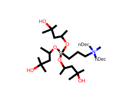 CCCCCCCCCC[N+](C)(CCCCCCCCCC)CCC[Si](OC(C)CC(C)(C)O)(OC(C)CC(C)(C)O)OC(C)CC(C)(C)O